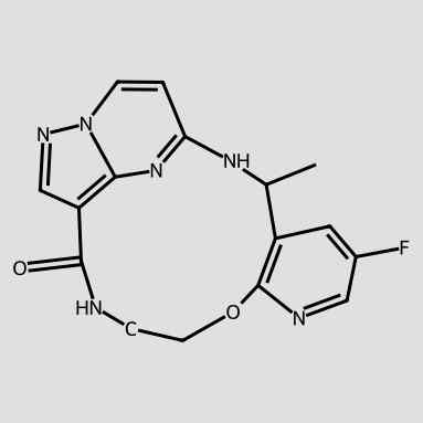 CC1Nc2ccn3ncc(c3n2)C(=O)NCCOc2ncc(F)cc21